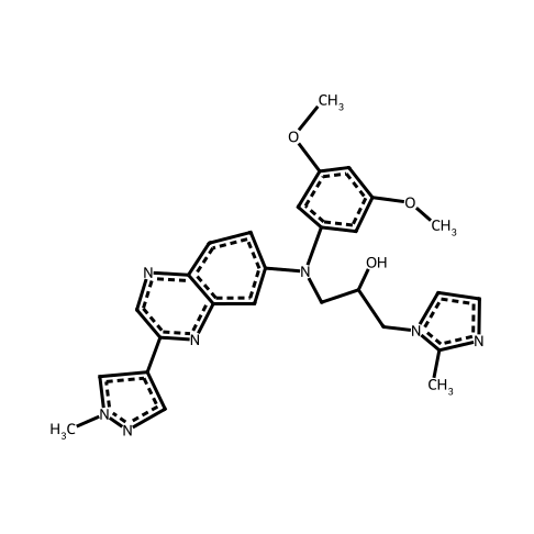 COc1cc(OC)cc(N(CC(O)Cn2ccnc2C)c2ccc3ncc(-c4cnn(C)c4)nc3c2)c1